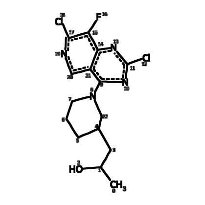 CC(O)CC1CCCN(c2nc(Cl)nc3c(F)c(Cl)ncc23)C1